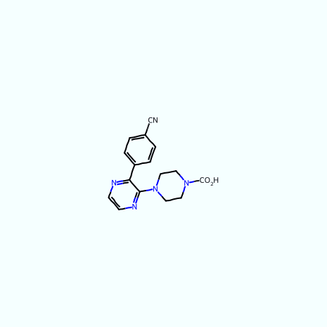 N#Cc1ccc(-c2nccnc2N2CCN(C(=O)O)CC2)cc1